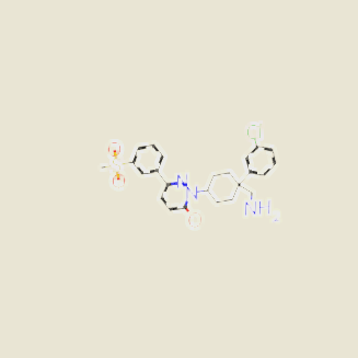 CS(=O)(=O)c1cccc(-c2ccc(=O)n(C3CCC(CN)(c4cccc(Cl)c4)CC3)n2)c1